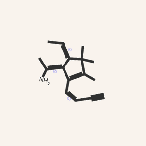 C#C/C=C\C1=C(C)C(C)(C)C(=C/C)/C1=C(\C)N